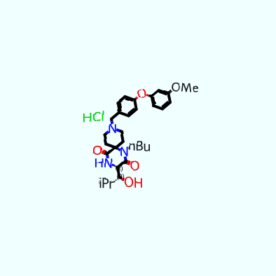 CCCCN1C(=O)[C@@H]([C@H](O)C(C)C)NC(=O)C12CCN(Cc1ccc(Oc3cccc(OC)c3)cc1)CC2.Cl